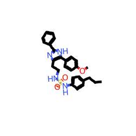 CCCc1ccc(NS(=O)(=O)NCCc2nc(-c3ccccc3)[nH]c2-c2ccc(OC)cc2)cc1